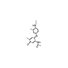 CCNc1ccc(N=C2C=C(C)C(=O)C=C2NC(C)=O)cc1C